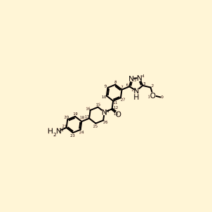 COCc1nnc(-c2cccc(C(=O)N3CCC(c4ccc(N)cc4)CC3)c2)[nH]1